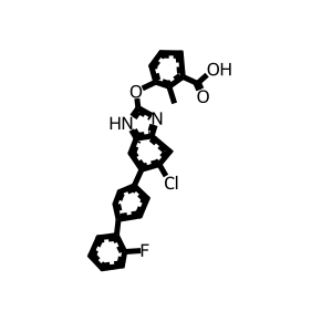 Cc1c(Oc2nc3cc(Cl)c(-c4ccc(-c5ccccc5F)cc4)cc3[nH]2)cccc1C(=O)O